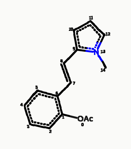 CC(=O)Oc1ccccc1C=Cc1cccn1C